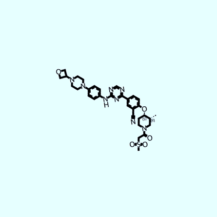 C[C@@H]1CN(C(=O)CS(C)(=O)=O)CC[C@@H]1Oc1ccc(-c2ncnc(Nc3ccc(N4CCN(C5COC5)CC4)cc3)n2)cc1C#N